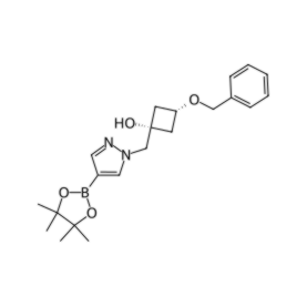 CC1(C)OB(c2cnn(C[C@]3(O)C[C@@H](OCc4ccccc4)C3)c2)OC1(C)C